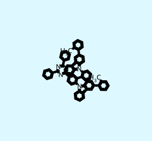 Cc1ccccc1-c1ccc2c(c1)c1ccccc1n2-c1ccccc1-c1cc(-c2nc(-c3ccccc3)nc(-c3ccccc3)n2)ccc1-n1c2ccccc2c2cc(-c3ccccc3C)ccc21